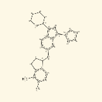 Cc1c(C#N)ccc2c1CCC2Oc1ccc2c(c1)c(-c1cnco1)nn2C1CCCCO1